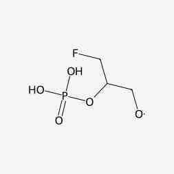 [O]CC(CF)OP(=O)(O)O